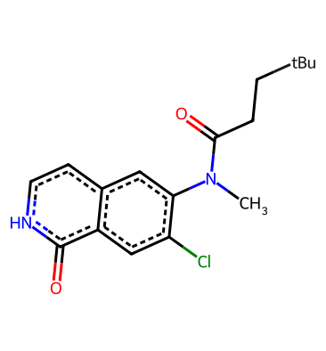 CN(C(=O)CCC(C)(C)C)c1cc2cc[nH]c(=O)c2cc1Cl